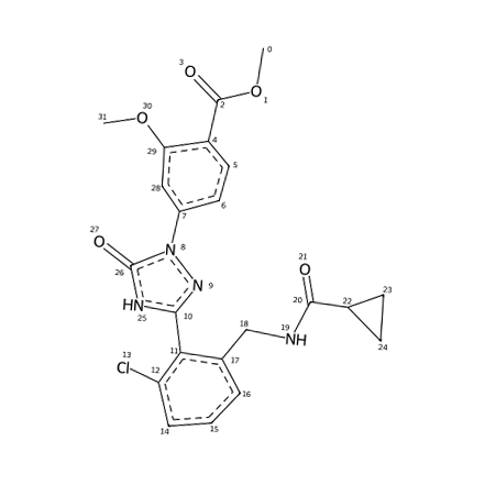 COC(=O)c1ccc(-n2nc(-c3c(Cl)cccc3CNC(=O)C3CC3)[nH]c2=O)cc1OC